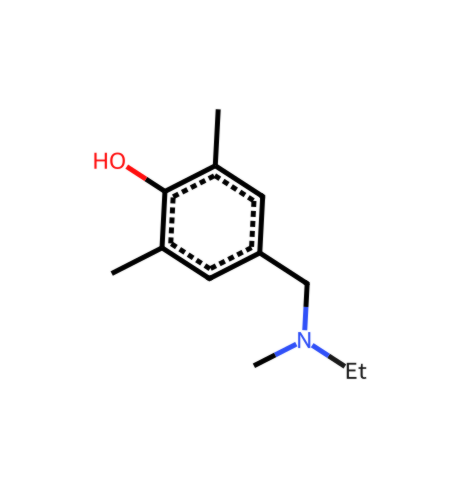 CCN(C)Cc1cc(C)c(O)c(C)c1